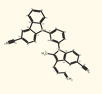 C=C/C=C\c1c(C)n(-c2cccc(-n3c4ccccc4c4cc(C#N)ccc43)n2)c2ccc(C#N)cc12